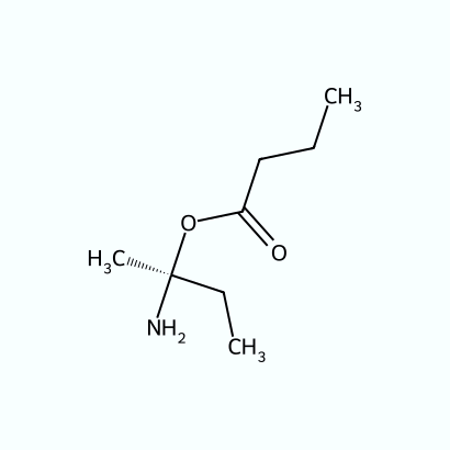 CCCC(=O)O[C@](C)(N)CC